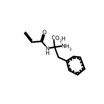 C=CC(=O)NC(N)(Cc1ccccc1)C(=O)O